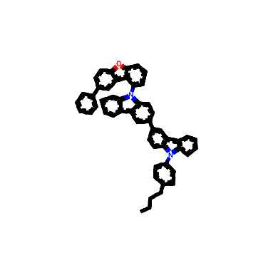 CCCCc1ccc(-n2c3ccccc3c3cc(-c4ccc5c(c4)c4ccccc4n5-c4cccc5oc6ccc(-c7ccccc7)cc6c45)ccc32)cc1